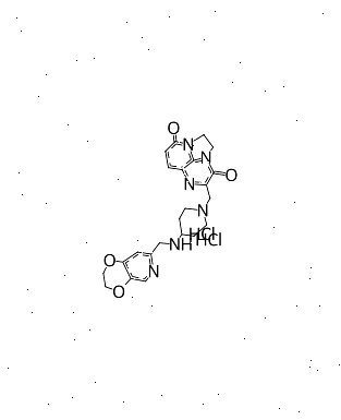 Cl.Cl.O=c1ccc2nc(CN3CCC(NCc4cc5c(cn4)OCCO5)CC3)c(=O)n3c2n1CC3